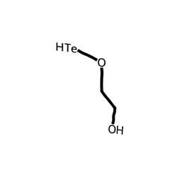 OCCO[TeH]